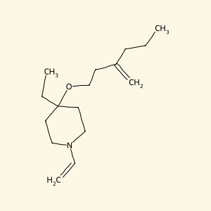 C=CN1CCC(CC)(OCCC(=C)CCC)CC1